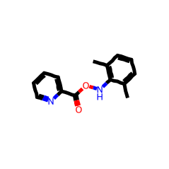 Cc1cccc(C)c1NOC(=O)c1ccccn1